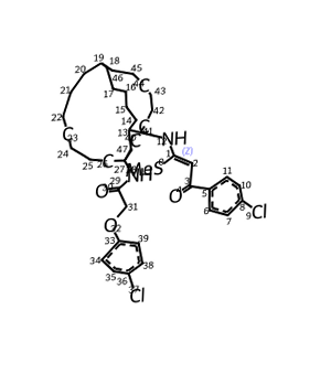 CS/C(=C\C(=O)c1ccc(Cl)cc1)NC1CCCCCC2CCCCCCCC(NC(=O)COc3ccc(Cl)cc3)(CCCCCCC2)C1